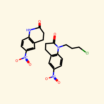 O=C1CCc2cc([N+](=O)[O-])ccc2N1.O=C1CCc2cc([N+](=O)[O-])ccc2N1CCCCl